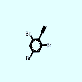 [C]#Cc1c(Br)cc(Br)cc1Br